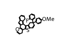 COc1ccc(C2(c3ccccc3F)C=Cc3sc4c5c(c6c(c4c3C2)=C2CC=CC=C2C=6)OC=CC5)cc1